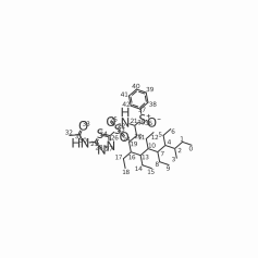 CCC(C)C(CC)C(CC)C(CC)C(CC)C(CC)CCC(NS(=O)(=O)c1nnc(NC(C)=O)s1)[S+]([O-])c1ccccc1